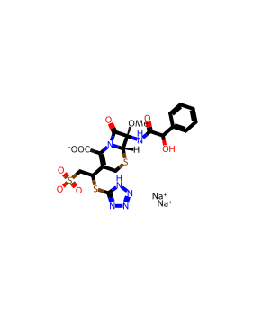 CO[C@]1(NC(=O)C(O)c2ccccc2)C(=O)N2C(C(=O)[O-])=C(C(CS(=O)(=O)[O-])Sc3nnn[nH]3)CS[C@H]21.[Na+].[Na+]